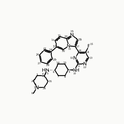 CN1CCC(N[C@H]2CC[C@H](Nc3ncc(F)c(-c4cnc5ccc(-c6ccccc6)cn45)n3)CC2)CC1